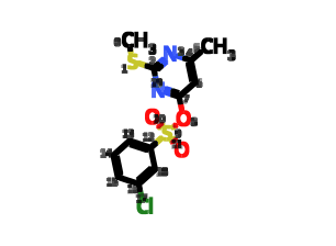 CSc1nc(C)cc(OS(=O)(=O)c2cccc(Cl)c2)n1